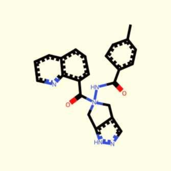 Cc1ccc(C(=O)N[N+]2(C(=O)c3cccc4cccnc34)Cc3cn[nH]c3C2)cc1